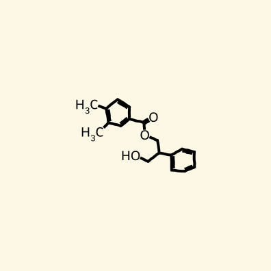 Cc1ccc(C(=O)OCC(CO)c2ccccc2)cc1C